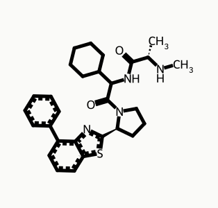 CN[C@@H](C)C(=O)NC(C(=O)N1CCC[C@H]1c1nc2c(-c3ccccc3)cccc2s1)C1CCCCC1